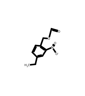 CCc1ccc(COC=O)c([N+](=O)[O-])c1